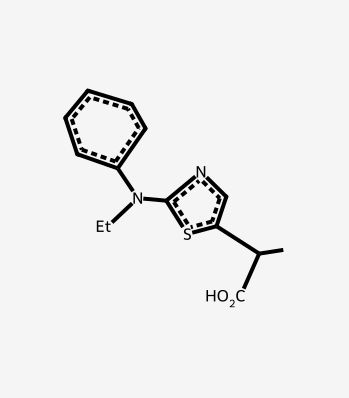 CCN(c1ccccc1)c1ncc(C(C)C(=O)O)s1